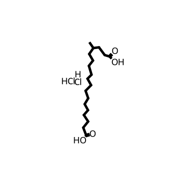 CC(CCCCCCCCCCCCCC(=O)O)CCC(=O)O.Cl.Cl